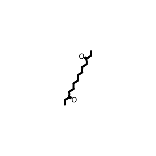 CCC(=O)CCCCCCCCC(=O)CC